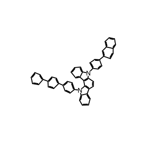 c1ccc(-c2ccc(-c3ccc(-n4c5ccccc5c5ccc6c(c7ccccc7n6-c6ccc(-c7ccc8ccccc8c7)cc6)c54)cc3)cc2)cc1